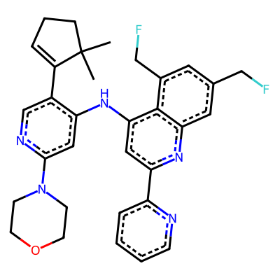 CC1(C)CCC=C1c1cnc(N2CCOCC2)cc1Nc1cc(-c2ccccn2)nc2cc(CF)cc(CF)c12